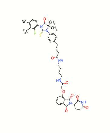 CC1(C)C(=O)N(c2ccc(C#N)c(C(F)(F)F)c2F)C(=S)N1c1ccc(CCCC(=O)NCCCCNC(=O)COc2cccc3c2C(=O)N(C2CCC(=O)NC2=O)C3=O)cc1